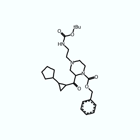 CC(C)(C)OC(=O)NCCN1CCN(C(=O)OCc2ccccc2)C(C(=O)C2CC2C2CCCC2)C1